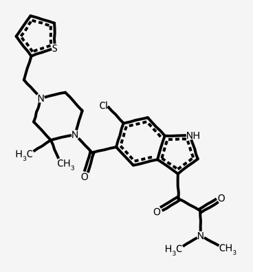 CN(C)C(=O)C(=O)c1c[nH]c2cc(Cl)c(C(=O)N3CCN(Cc4cccs4)CC3(C)C)cc12